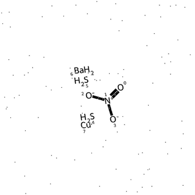 O=[N+]([O-])[O-].S.S.[BaH2].[Cu]